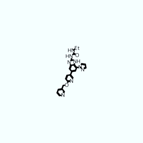 CCNC(=O)Nc1nc2cc(-c3ccc(OCc4cccnc4)nc3)cc(-n3cccn3)c2[nH]1